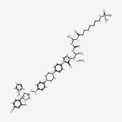 CC[C@@H](C(C)OC(=O)OC(C)OC(=O)CCCCCCCOP(=O)(O)O)n1ncn(-c2ccc(N3CCN(c4ccc(OC[C@@H]5CO[C@@](Cn6cncn6)(c6ccc(F)cc6F)C5)cc4)CC3)cc2)c1=O